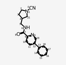 N#CN1CCC(CNC(=O)c2ccc(-c3ccccc3)cn2)C1